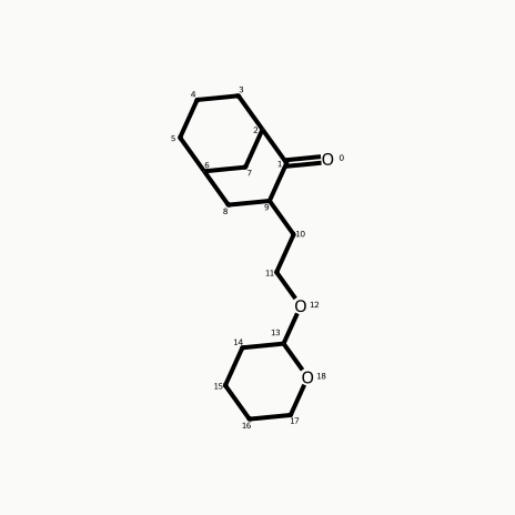 O=C1C2CCCC(C2)CC1CCOC1CCCCO1